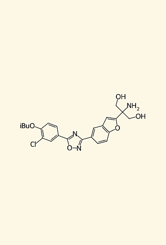 CC(C)COc1ccc(-c2nc(-c3ccc4oc(C(N)(CO)CO)cc4c3)no2)cc1Cl